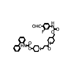 O=Cc1ccc(NC(=O)OCC2CCN(C(=O)CCN3CCC(OC(=O)Nc4ccccc4-c4ccccc4)CC3)CC2)cc1F